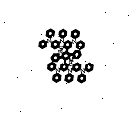 c1ccc(N(c2ccccc2)c2ccc3c(c2)N(c2ccccc2)c2cc(N(c4ccccc4)c4ccccc4)cc4c2B3n2c3ccccc3c3c5c6c(c-4c32)c2ccccc2n6B2c3ccc(N(c4ccccc4)c4ccccc4)cc3N(c3ccccc3)c3cc(N(c4ccccc4)c4ccccc4)cc-5c32)cc1